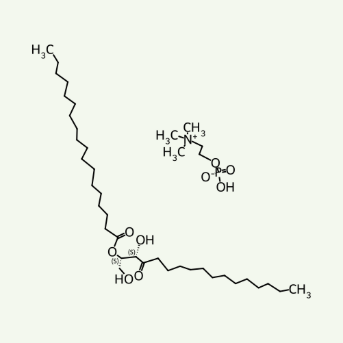 CCCCCCCCCCCCCCCCCC(=O)O[C@@H](CO)[C@H](O)C(=O)CCCCCCCCCCCCC.C[N+](C)(C)CCOP(=O)([O-])O